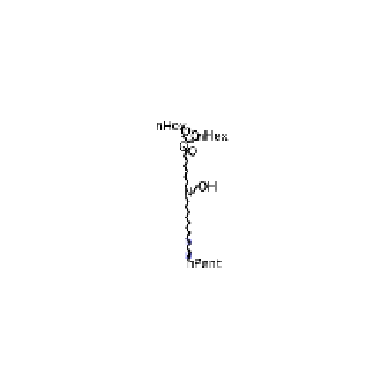 CCCCC/C=C/C/C=C/CCCCCCCCN(CCO)CCCCCCCC(=O)OC(COCCCCCC)COCCCCCC